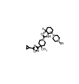 CC(C)N1CCN([C@H]2CCCC(F)(F)[C@@H]2NC(=O)N2CCC(C)(c3noc(C4CC4)n3)CC2)CC1